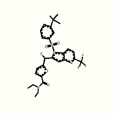 CCN(CC)C(=O)c1ccc(C(F)c2cc3nc(C(F)(F)F)ccc3n2S(=O)(=O)c2cccc(C(C)(C)C)c2)s1